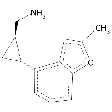 Cc1cc2c([C@@H]3C[C@H]3CN)cccc2o1